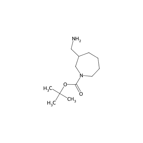 CC(C)(C)OC(=O)N1CCCCC(CN)C1